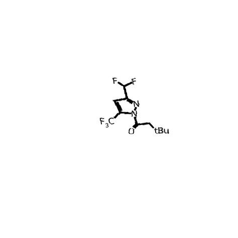 CC(C)(C)CC(=O)n1nc(C(F)F)cc1C(F)(F)F